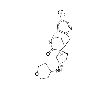 O=C1N2CCC(Cc3ncc(C(F)(F)F)cc3C2)[C@@]12CC[C@@H](NC1CCOCC1)C2